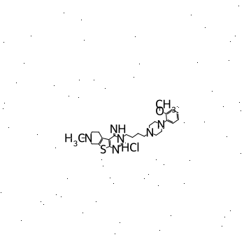 COc1ccccc1N1CCN(CCCCn2cnc3sc4c(c3c2=N)CCN(C)C4)CC1.Cl